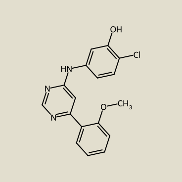 COc1ccccc1-c1cc(Nc2ccc(Cl)c(O)c2)ncn1